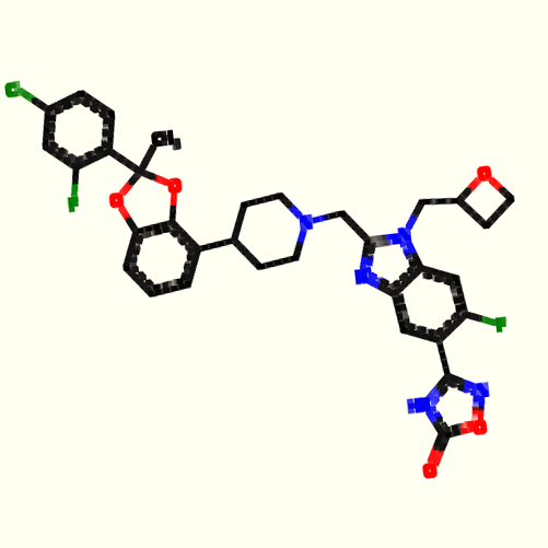 CC1(c2ccc(Cl)cc2F)Oc2cccc(C3CCN(Cc4nc5cc(-c6noc(=O)[nH]6)c(F)cc5n4CC4CCO4)CC3)c2O1